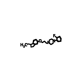 CCC1CCc2cc(OCCCN3CCN(c4ccccc4F)CC3)ccc21